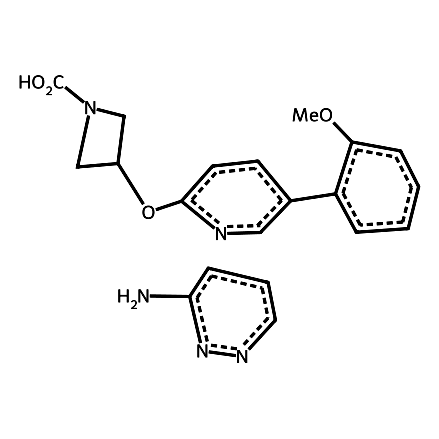 COc1ccccc1-c1ccc(OC2CN(C(=O)O)C2)nc1.Nc1cccnn1